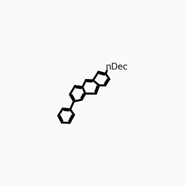 CCCCCCCCCCc1ccc2cc3cc(-c4ccccc4)ccc3cc2c1